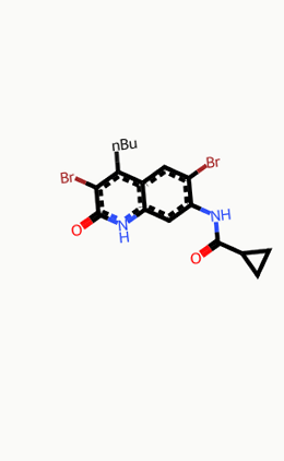 CCCCc1c(Br)c(=O)[nH]c2cc(NC(=O)C3CC3)c(Br)cc12